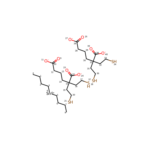 CCC[CH2][Sn+4][CH2]CCC.O=C([O-])CCCC(CCS)(CCS)C(=O)[O-].O=C([O-])CCCC(CCS)(CCS)C(=O)[O-]